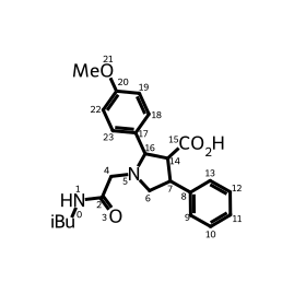 CCC(C)NC(=O)CN1CC(c2ccccc2)C(C(=O)O)C1c1ccc(OC)cc1